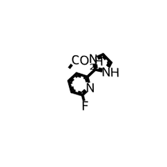 CC(=O)O.Fc1cccc(-c2ncc[nH]2)n1